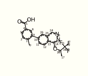 Cc1ccc(C(=O)O)cc1-c1ccc2c(O[C@H](C)C(F)(F)F)nncc2c1